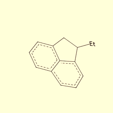 CCC1Cc2cccc3cccc1c23